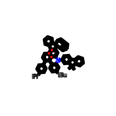 CC(C)c1ccc(-c2ccc(C(C)C)cc2-c2ccc(C(C)(C)C)cc2N(c2ccc3c(c2)C(C)(C)c2ccccc2-3)c2ccc3c(c2)C2(c4ccccc4-3)C3CC4CC(C3)CC2C4)cc1